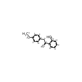 COc1ccc(CC(=O)c2c[c]ccc2O)cc1